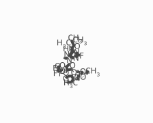 CCOP(=O)(CO[C@H]1O[C@@H](n2cnc3c(NC(=O)C(C)(C)C)nc(F)nc32)[C@H](OS(=O)(=O)C(F)(F)F)[C@@H]1OC1CCCCO1)OCC